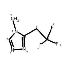 Cn1cnnc1CC(F)(F)F